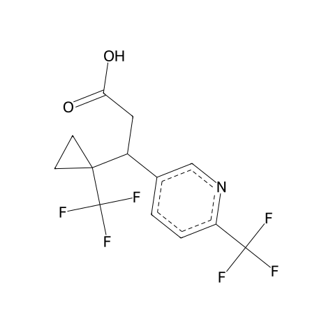 O=C(O)CC(c1ccc(C(F)(F)F)nc1)C1(C(F)(F)F)CC1